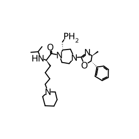 CC(C)N[C@H](CCCCN1CCCCC1)C(=O)N1CCN(C2=N[C@@H](C)[C@H](c3ccccc3)O2)C[C@H]1CP